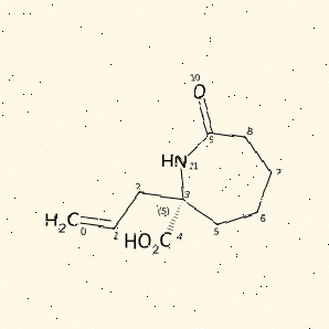 C=CC[C@]1(C(=O)O)CCCCC(=O)N1